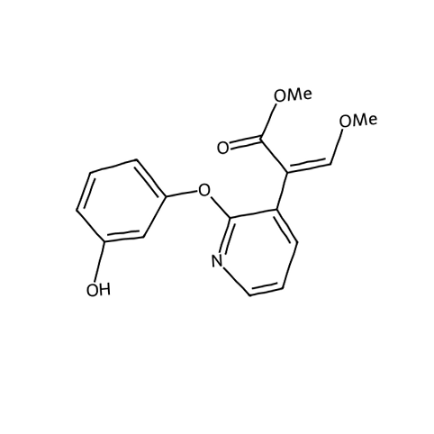 COC=C(C(=O)OC)c1cccnc1Oc1cccc(O)c1